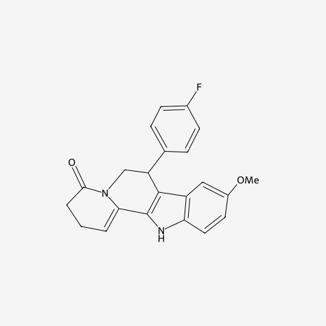 COc1ccc2[nH]c3c(c2c1)C(c1ccc(F)cc1)CN1C(=O)CCC=C31